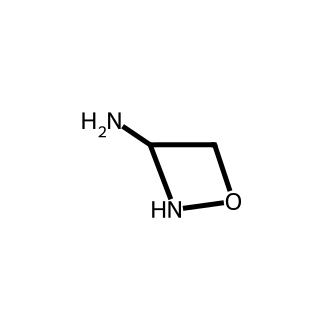 NC1CON1